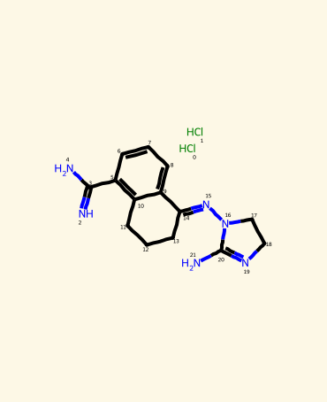 Cl.Cl.N=C(N)c1cccc2c1CCCC2=NN1CCN=C1N